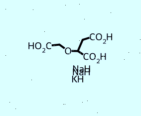 O=C(O)COC(CC(=O)O)C(=O)O.[KH].[NaH].[NaH]